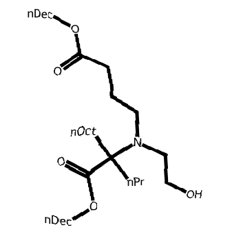 CCCCCCCCCCOC(=O)CCCN(CCO)C(CCC)(CCCCCCCC)C(=O)OCCCCCCCCCC